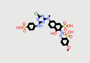 COc1ccc(N=Nc2c(S(=O)(=O)O)cc3cc(N(C)c4nc(Cl)nc(Nc5ccc(S(=O)(=O)O)cc5)n4)ccc3c2O)c(S(=O)(=O)O)c1